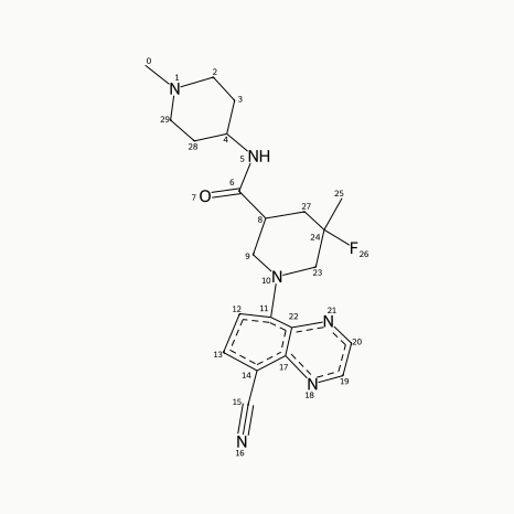 CN1CCC(NC(=O)C2CN(c3ccc(C#N)c4nccnc34)CC(C)(F)C2)CC1